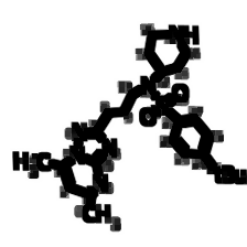 Cc1cc(C)n2nc(CCCN(C3CCNCC3)S(=O)(=O)c3ccc(C(C)(C)C)cc3)nc2n1